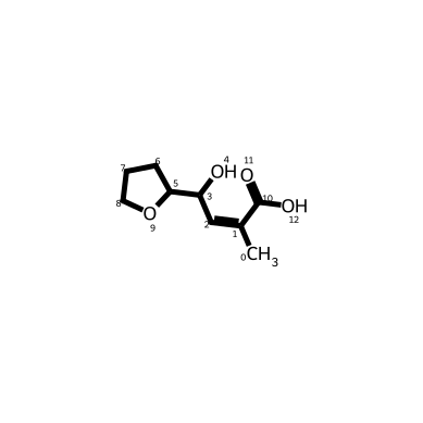 CC(=CC(O)C1CCCO1)C(=O)O